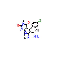 Cn1c(=O)c2c(-c3ccc(Cl)cc3C#N)c(CN)c3nccn3c2n(C)c1=O